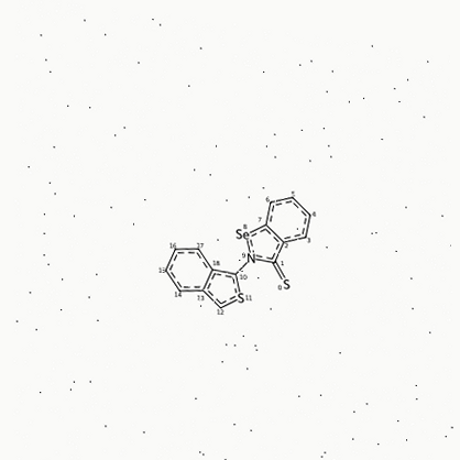 S=c1c2ccccc2[se]n1-c1scc2ccccc12